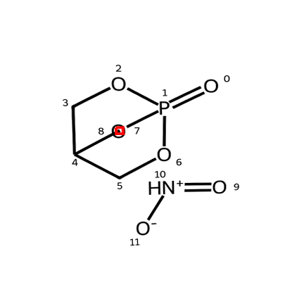 O=P12OCC(CO1)CO2.O=[NH+][O-]